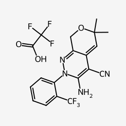 CC1(C)C=C2C(=NN(c3ccccc3C(F)(F)F)C(N)=C2C#N)CO1.O=C(O)C(F)(F)F